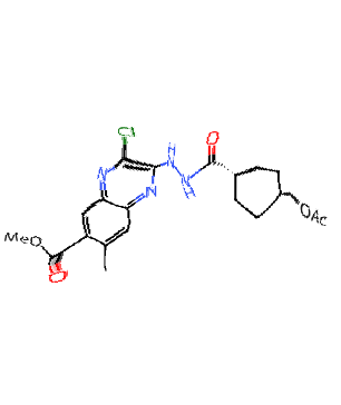 COC(=O)c1cc2nc(Cl)c(NNC(=O)[C@H]3CC[C@H](OC(C)=O)CC3)nc2cc1C